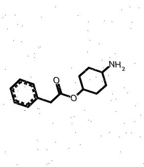 NC1CCC(OC(=O)Cc2ccccc2)CC1